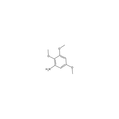 COc1cc(N)c(OC)c(OC)c1